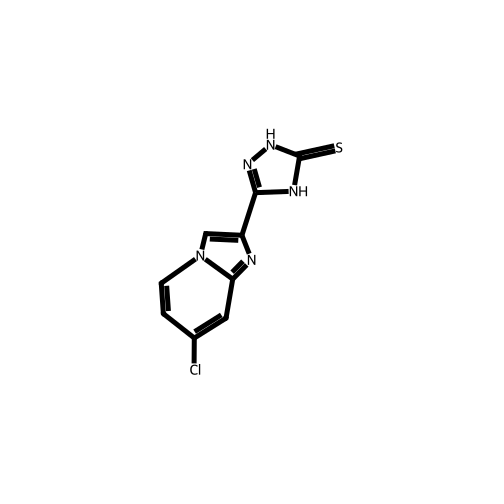 S=c1[nH]nc(-c2cn3ccc(Cl)cc3n2)[nH]1